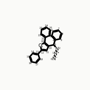 [N-]=[N+]=NC(c1ccccc1)c1cc(-c2ccccc2)oc1-c1ccccc1